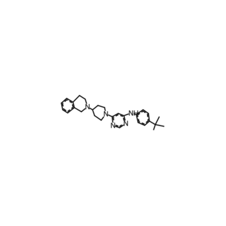 CC(C)(C)c1ccc(Nc2cc(N3CCC(N4CCc5ccccc5C4)CC3)ncn2)cc1